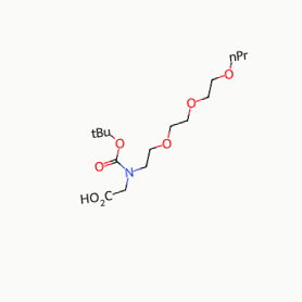 CCCOCCOCCOCCN(CC(=O)O)C(=O)OC(C)(C)C